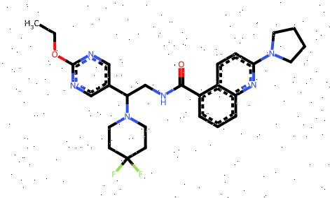 CCOc1ncc(C(CNC(=O)c2cccc3nc(N4CCCC4)ccc23)N2CCC(F)(F)CC2)cn1